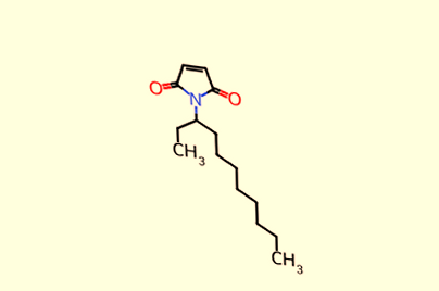 CCCCCCCCC(CC)N1C(=O)C=CC1=O